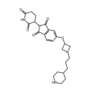 O=C1CCC(N2C(=O)c3ccc(OC4CN(CCCC5CCNCC5)C4)cc3C2=O)C(=O)N1